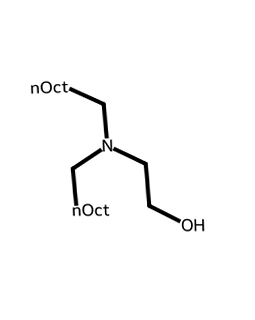 CCCCCCCCCN(CCO)CCCCCCCCC